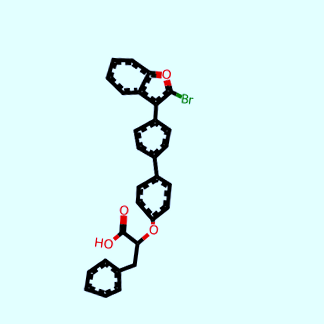 O=C(O)C(Cc1ccccc1)Oc1ccc(-c2ccc(-c3c(Br)oc4ccccc34)cc2)cc1